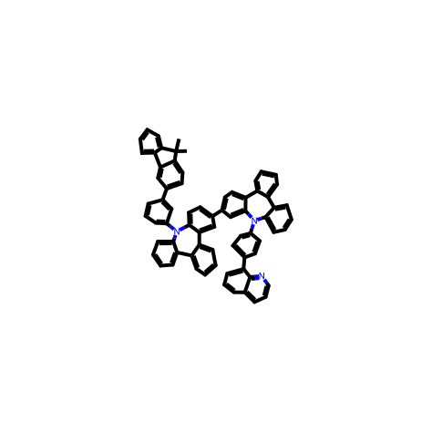 CC1(C)c2ccccc2-c2cc(-c3cccc(N4c5ccccc5-c5ccccc5-c5cc(-c6ccc7c(c6)N(c6ccc(-c8cccc9cccnc89)cc6)c6ccccc6-c6ccccc6-7)ccc54)c3)ccc21